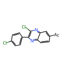 CC(=O)c1ccc2nc(-c3ccc(Cl)cc3)c(Cl)nc2c1